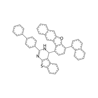 c1ccc(-c2ccc(C3=Nc4sc5ccccc5c4C(c4ccc(-c5cccc6ccccc56)c5oc6cc7ccccc7cc6c45)N3)cc2)cc1